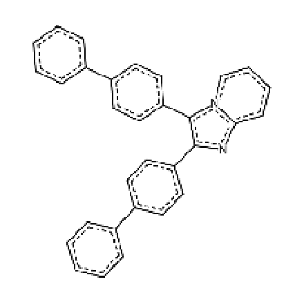 c1ccc(-c2ccc(-c3nc4ccccn4c3-c3ccc(-c4ccccc4)cc3)cc2)cc1